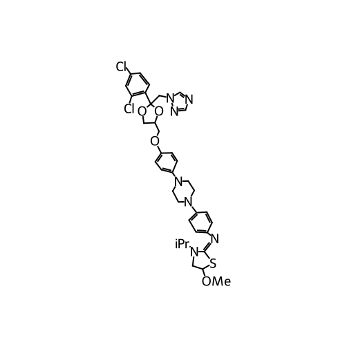 COC1CN(C(C)C)/C(=N\c2ccc(N3CCN(c4ccc(OCC5COC(Cn6cncn6)(c6ccc(Cl)cc6Cl)O5)cc4)CC3)cc2)S1